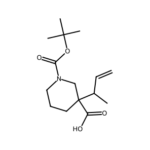 C=CC(C)C1(C(=O)O)CCCN(C(=O)OC(C)(C)C)C1